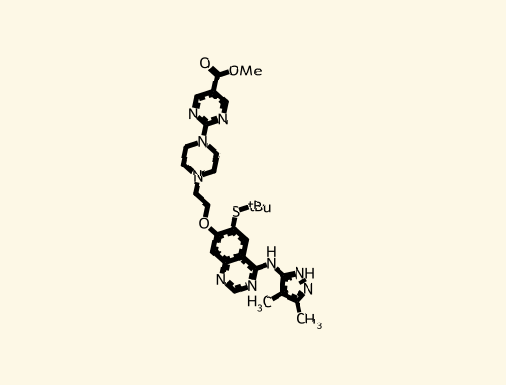 COC(=O)c1cnc(N2CCN(CCOc3cc4ncnc(Nc5[nH]nc(C)c5C)c4cc3SC(C)(C)C)CC2)nc1